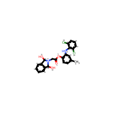 Cc1ccc(OC(=O)CN2C(O)c3ccccc3C2O)c(Nc2c(Cl)cccc2Cl)c1